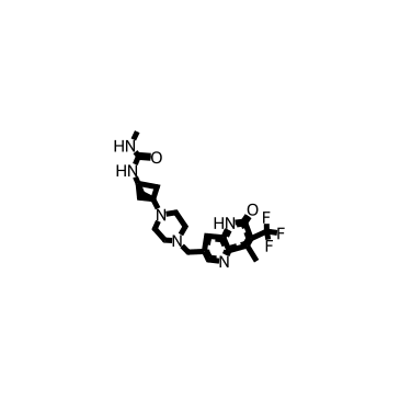 CNC(=O)NC12CC(N3CCN(Cc4cnc5c(C)c(C(F)(F)F)c(=O)[nH]c5c4)CC3)(C1)C2